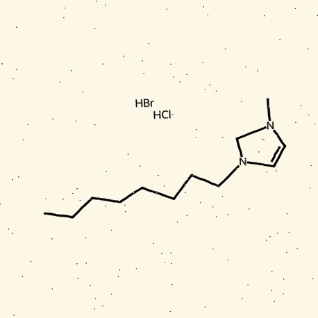 Br.CCCCCCCCN1C=CN(C)C1.Cl